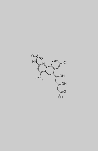 CC(C)c1nc(NS(C)(=O)=O)nc2c1C[C@H](C(O)CC(O)CC(=O)O)c1cc(Cl)ccc1-2